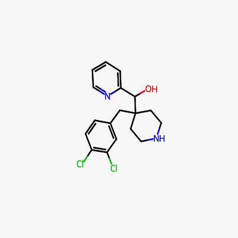 OC(c1ccccn1)C1(Cc2ccc(Cl)c(Cl)c2)CCNCC1